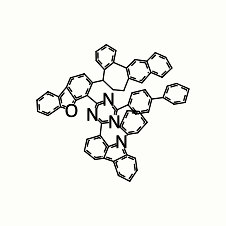 c1ccc(-c2ccc(-c3nc(-c4c(C5CCc6cc7ccccc7cc6-c6ccccc65)ccc5c4oc4ccccc45)nc(-c4cccc5c6ccccc6n(-c6ccccc6)c45)n3)cc2)cc1